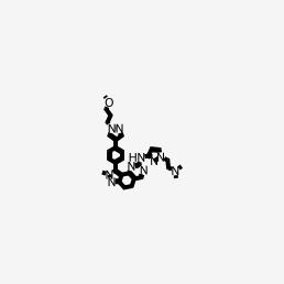 COCCCn1cc(-c2ccc(-c3c4c(nn3C)CCc3cnc(Nc5ccn(CCN(C)C)n5)nc3-4)cc2)cn1